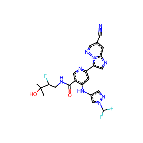 CC(C)(O)C(F)CNC(=O)c1cnc(-c2cnc3cc(C#N)cnn23)cc1Nc1cnn(C(F)F)c1